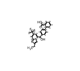 CCc1cn2c([C@H](O)c3ccc(-c4ccccc4C(=O)O)cc3)cc(C(F)(F)F)cc2n1